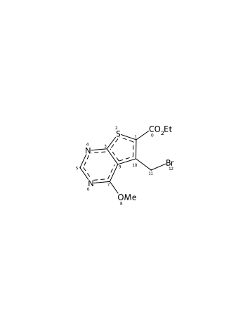 CCOC(=O)c1sc2ncnc(OC)c2c1CBr